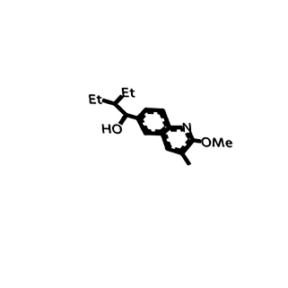 CCC(CC)C(O)c1ccc2nc(OC)c(C)cc2c1